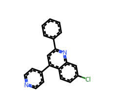 Clc1ccc2c(-c3ccncc3)cc(-c3ccccc3)nc2c1